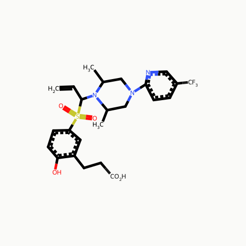 C=CC(N1C(C)CN(c2ccc(C(F)(F)F)cn2)CC1C)S(=O)(=O)c1ccc(O)c(CCC(=O)O)c1